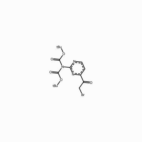 CC(C)(C)OC(=O)N(C(=O)OC(C)(C)C)c1nccc(C(=O)CBr)n1